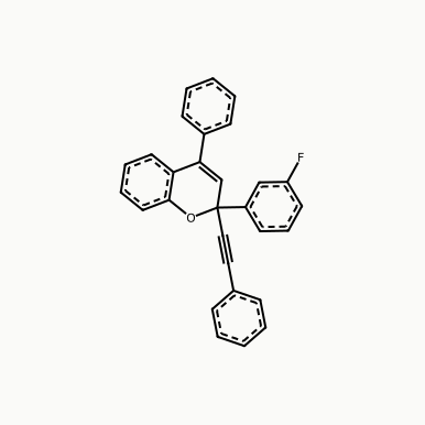 Fc1cccc(C2(C#Cc3ccccc3)C=C(c3ccccc3)c3ccccc3O2)c1